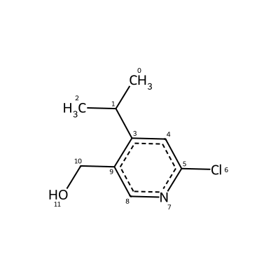 CC(C)c1cc(Cl)ncc1CO